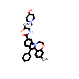 COC(=O)[C@H](CN1CCC(O)CC1)NC(=O)c1ccc2c(C3CCCCC3)c3n(c2c1)CCOc1cc(OC)ccc1-3